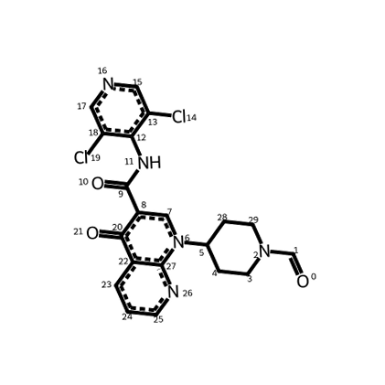 O=CN1CCC(n2cc(C(=O)Nc3c(Cl)cncc3Cl)c(=O)c3cccnc32)CC1